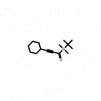 CC(C)(C)[Si](C)(C)C(=O)C#CC1CCCCC1